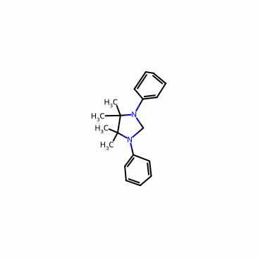 CC1(C)N(c2ccccc2)CN(c2ccccc2)C1(C)C